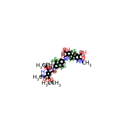 CNC(=O)c1ccc(C(c2ccc(C(=O)O)c(C(=O)Nc3ccc(-c4ccc(NC(=O)c5cc(C(=O)OC(C)C)c(C(=O)NC)cc5C(=O)OC(C)C)cc4C(F)(F)F)c(C(F)(F)F)c3)c2)(C(F)(F)F)C(F)(F)F)cc1C(=O)O